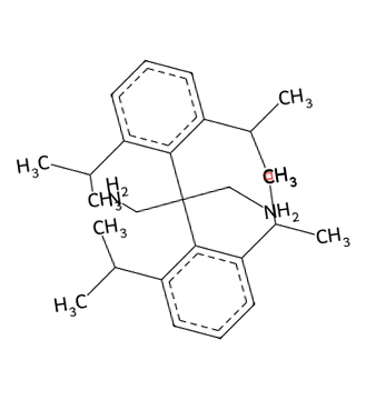 CC(C)c1cccc(C(C)C)c1C(CN)(CN)c1c(C(C)C)cccc1C(C)C